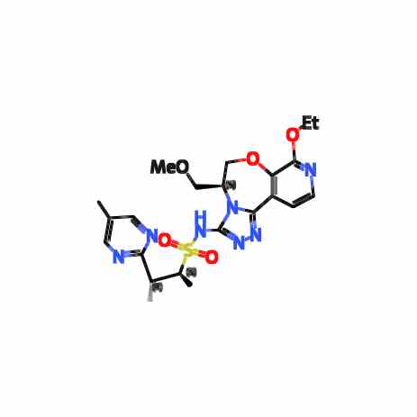 CCOc1nccc2c1OC[C@H](COC)n1c(NS(=O)(=O)[C@@H](C)[C@H](C)c3ncc(C)cn3)nnc1-2